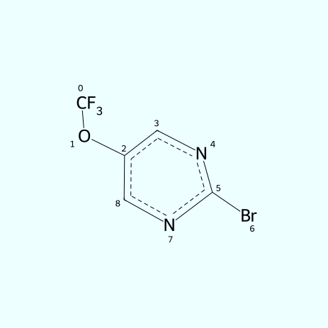 FC(F)(F)Oc1cnc(Br)nc1